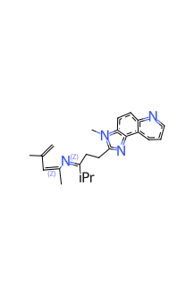 C=C(C)/C=C(C)\N=C(\CCc1nc2c3cccnc3ccc2n1C)C(C)C